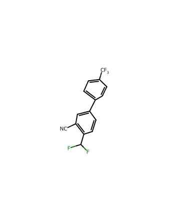 N#Cc1cc(-c2ccc(C(F)(F)F)cc2)ccc1C(F)F